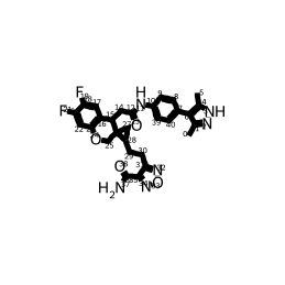 Cc1n[nH]c(C)c1-c1ccc(NC(=O)CC2c3cc(F)c(F)cc3OCC23CC3CCc2nonc2C(N)=O)cc1